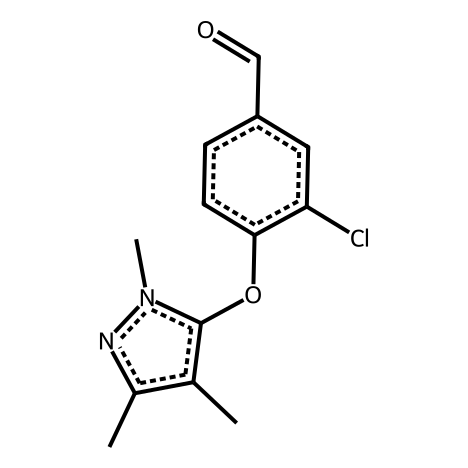 Cc1nn(C)c(Oc2ccc(C=O)cc2Cl)c1C